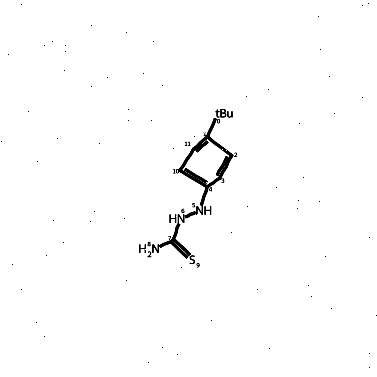 CC(C)(C)c1ccc(NNC(N)=S)cc1